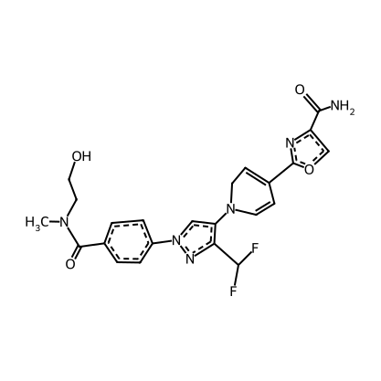 CN(CCO)C(=O)c1ccc(-n2cc(N3C=CC(c4nc(C(N)=O)co4)=CC3)c(C(F)F)n2)cc1